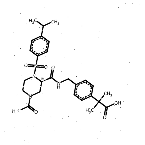 CC(=O)N1CCN(S(=O)(=O)c2ccc(C(C)C)cc2)[C@@H](C(=O)NCc2ccc(C(C)(C)C(=O)O)cc2)C1